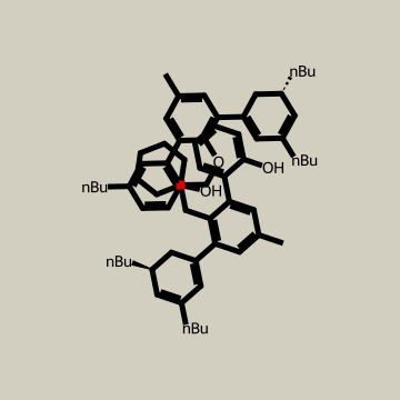 CCCCC1=C[C@@H](CCCC)CC(c2cc(C)cc(-c3ccccc3O)c2CC2(COc3c(C4=CC(CCCC)=C[C@@H](CCCC)C4)cc(C)cc3-c3cc(CCCC)ccc3O)CCCCC2)=C1